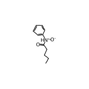 CCCCC(=O)[NH+]([O-])c1ccccc1